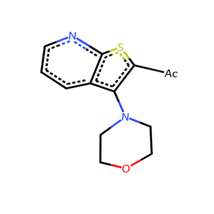 CC(=O)c1sc2ncccc2c1N1CCOCC1